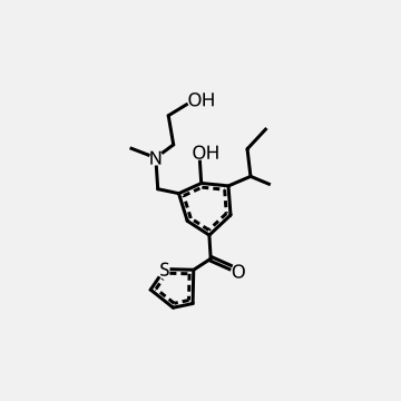 CCC(C)c1cc(C(=O)c2cccs2)cc(CN(C)CCO)c1O